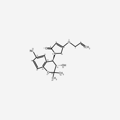 C=CCOC1=CC(=O)N([C@@H]2c3cc(C#N)ccc3OC(C)(C)[C@H]2O)C1